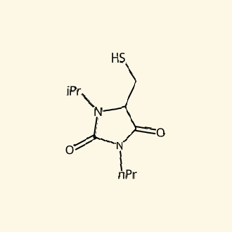 CCCN1C(=O)C(CS)N(C(C)C)C1=O